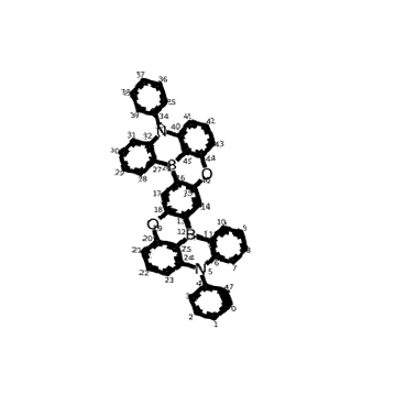 c1cccc(N2c3ccccc3B3c4cc5c(cc4Oc4cccc2c43)B2c3ccccc3N(c3ccccc3)c3cccc(c32)O5)c#1